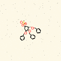 CS(=O)(=O)O[C@@H]1C[C@H](COCc2ccccc2)[C@H](OCc2ccccc2)[C@H](OCc2ccccc2)C1